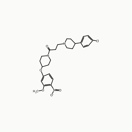 COc1cc(OC2CCN(C(=O)CCN3CCC(c4ccc(Cl)cc4)CC3)CC2)ccc1[N+](=O)[O-]